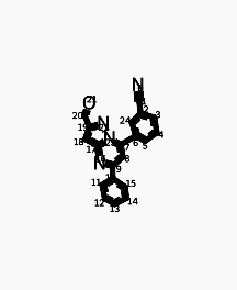 N#Cc1cccc(-c2cc(-c3ccccc3)nc3cc(C=O)nn23)c1